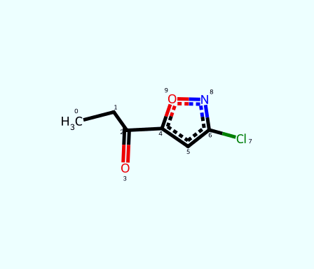 CCC(=O)c1cc(Cl)no1